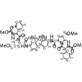 CCCCC1(CCCC)c2cc(NC(=O)[C@@H]3C[C@H](COC)CN3C(=O)C(NC(=O)OC)c3ccccc3)ccc2-c2ccc(NC(=O)[C@@H]3C[C@H](COC)CN3C(=O)[C@H](NC(=O)OC)c3ccccc3)cc21